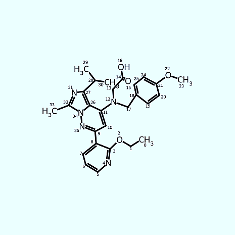 CCOc1ncccc1-c1cc(N(CC(=O)O)Cc2ccc(OC)cc2)c2c(C(C)C)nc(C)n2n1